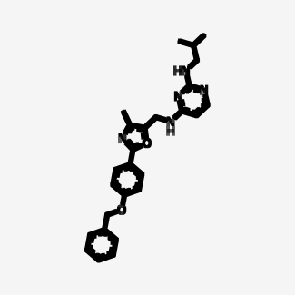 Cc1nc(-c2ccc(OCc3ccccc3)cc2)oc1CNc1ccnc(NCC(C)C)n1